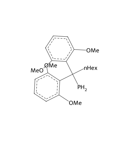 CCCCCCC(P)(c1c(OC)cccc1OC)c1c(OC)cccc1OC